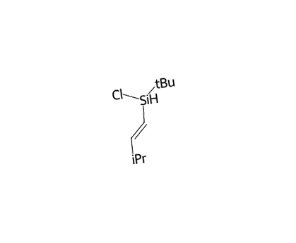 CC(C)C=C[SiH](Cl)C(C)(C)C